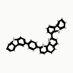 c1ccc2c(c1)sc1ccc(-c3ccc(-c4ccc5c(n4)-c4nc(-c6cccc7c6sc6ccccc67)ccc4CC5)cc3)cc12